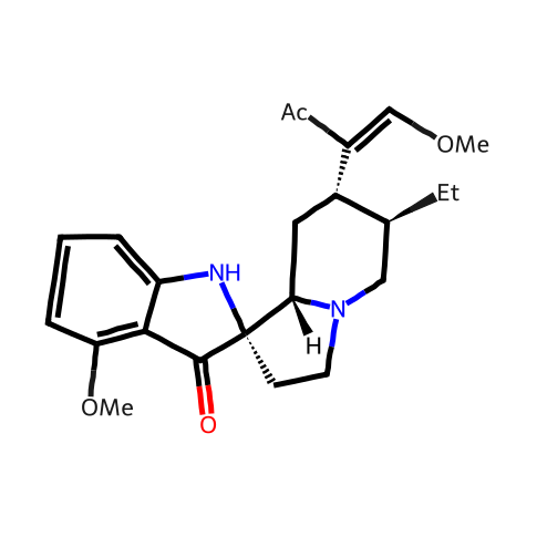 CC[C@H]1CN2CC[C@]3(Nc4cccc(OC)c4C3=O)[C@@H]2C[C@@H]1/C(=C\OC)C(C)=O